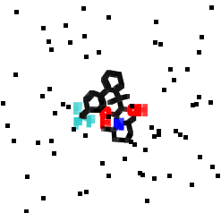 CC1CCCC(C)N1C(O)C(O)C(C)(C)c1ccccc1-c1ccc(C(F)(F)F)cc1